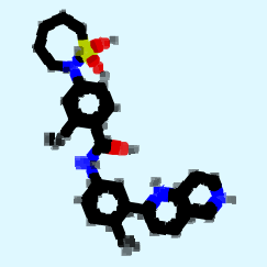 Cc1cc(N2CCCCCS2(=O)=O)ccc1C(=O)Nc1ccc(C)c(-c2ccc3cnccc3n2)c1